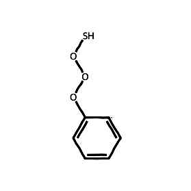 SOOOc1[c]cccc1